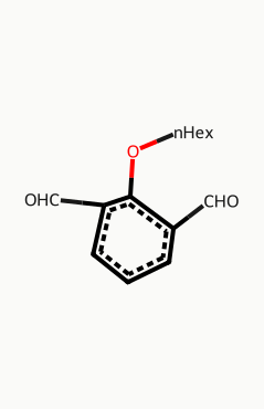 CCCCCCOc1c(C=O)cccc1C=O